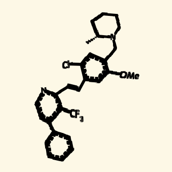 COc1cc(/C=C/c2nccc(-c3ccccc3)c2C(F)(F)F)c(Cl)cc1CN1CCCC[C@H]1C